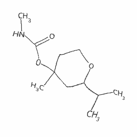 CNC(=O)OC1(C)CCOC(C(C)C)C1